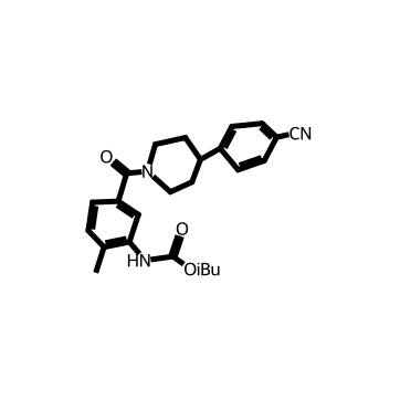 Cc1ccc(C(=O)N2CCC(c3ccc(C#N)cc3)CC2)cc1NC(=O)OCC(C)C